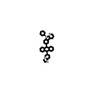 c1ccc(-n2c3ccc(-c4c5ccccc5c(-c5ccc6nccn6c5)c5ccccc45)cc3c3cccnc32)cc1